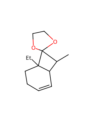 CCC12CCC=CC1C(C)C21OCCO1